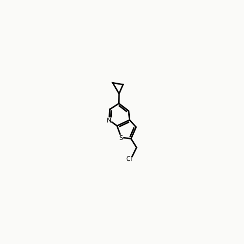 ClCc1cc2cc(C3CC3)cnc2s1